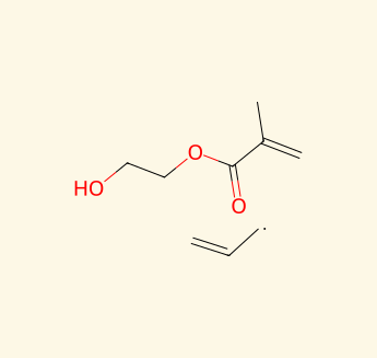 C=C(C)C(=O)OCCO.[CH2]C=C